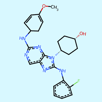 COC1=CCC(Nc2ncc3nc(Nc4ccccc4F)n([C@H]4CC[C@@H](O)CC4)c3n2)C=C1